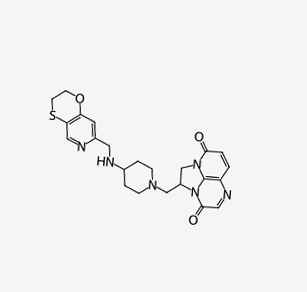 O=c1ccc2ncc(=O)n3c2n1CC3CN1CCC(NCc2cc3c(cn2)SCCO3)CC1